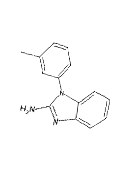 Cc1cccc(-n2c(N)nc3ccccc32)c1